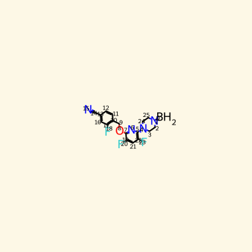 BN1CCN(c2nc(OCc3ccc(C#N)cc3F)c(F)cc2F)CC1